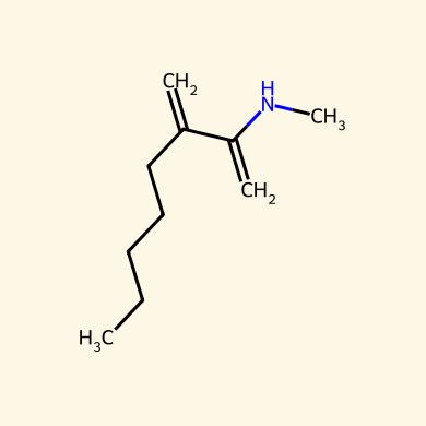 C=C(CCCCC)C(=C)NC